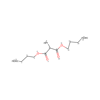 [CH2]CCC(C(=O)OCCCCCCCCCCCCC)C(=O)OCCCCCCCCCCCCC